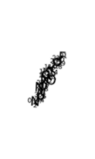 CN(C)[C@@H]1CCN(c2ccc(N3CCc4cc(-c5ccc(F)cc5)sc4C3=O)cn2)C1